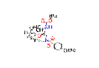 COc1ccc(S(=O)(=O)N(CC(C)C)C[C@@H](O[Si](C)(C)C(C)(C)C)C(C=O)NC(=O)OC(C)(C)C)cc1